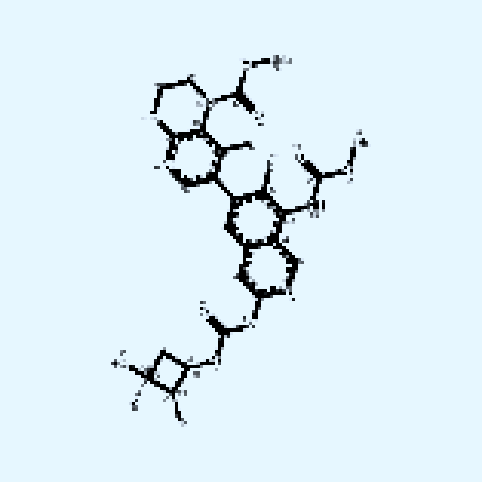 Cc1c(-c2cc3cc(NC(=O)O[C@@H]4C[C@](C)(O)[C@@H]4C)ncc3c(NC(=O)OC(C)(C)C)c2F)cnc2c1N(C(=O)OC(C)(C)C)CCO2